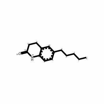 [CH2]CCCCc1ccc2c(c1)CCC(=O)N2